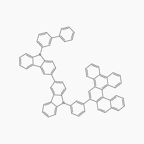 c1ccc(-c2cccc(-n3c4ccccc4c4cc(-c5ccc6c(c5)c5ccccc5n6-c5cccc(-c6cc7c8ccccc8c8ccccc8c7c7c6ccc6ccccc67)c5)ccc43)c2)cc1